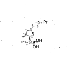 CC(C)NCCc1cc2cccc(B(O)O)c2s1